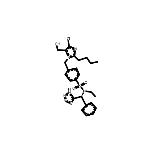 CCCCc1nc(Cl)c(CO)n1Cc1ccc(S(=O)(=O)N(CC)[C@@H](c2ccccc2)c2nnn[nH]2)cc1